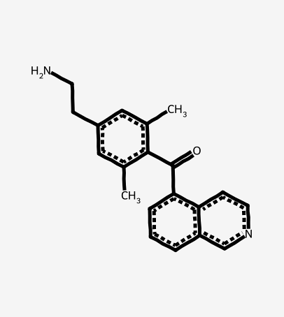 Cc1cc(CCN)cc(C)c1C(=O)c1cccc2cnccc12